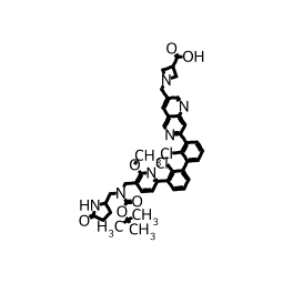 COc1nc(-c2cccc(-c3cccc(-c4cc5ncc(CN6CC(C(=O)O)C6)cc5cn4)c3Cl)c2Cl)ccc1CN(CC1CCC(=O)N1)C(=O)OC(C)(C)C